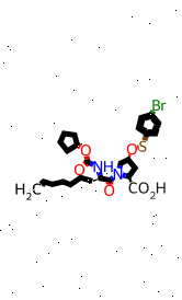 C=CCCCCC[C@H](NC(=O)OC1CCCC1)C(=O)N1C[C@@H](OSc2ccc(Br)cc2)C[C@H]1C(=O)O